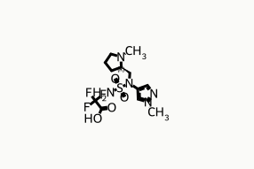 CN1CCC[C@@H]1CN(c1cnn(C)c1)S(N)(=O)=O.O=C(O)C(F)(F)F